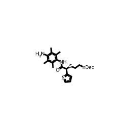 CCCCCCCCCCCCSC(C(=O)Nc1c(C)c(C)c(N)c(C)c1C)c1cccs1